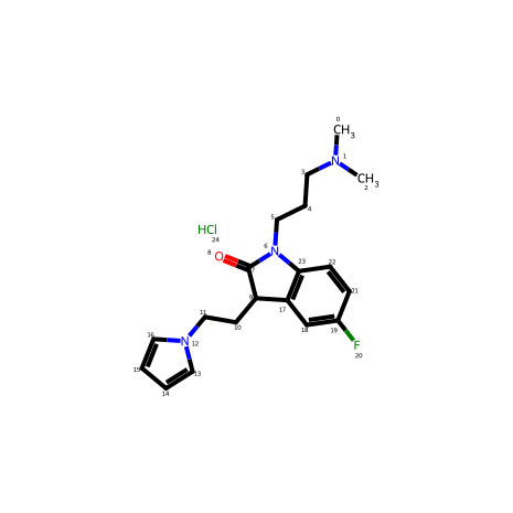 CN(C)CCCN1C(=O)C(CCn2cccc2)c2cc(F)ccc21.Cl